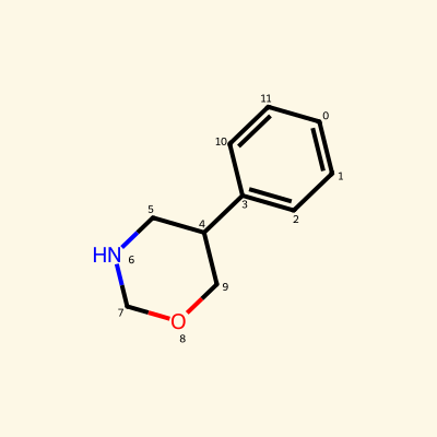 c1ccc(C2CNCOC2)cc1